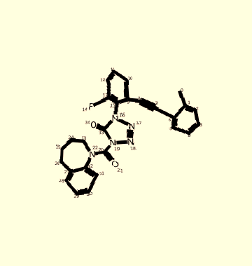 Cc1ccccc1C#Cc1cccc(F)c1-n1nnn(C(=O)N2CCCCc3ccccc32)c1=O